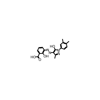 Cc1ccc(-n2nc(C)c(N=Nc3cccc(C(=O)O)c3O)c2O)cc1C